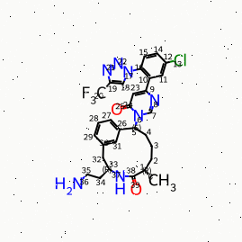 C[C@@H]1CCC[C@H](n2cnc(-c3cc(Cl)ccc3-n3cc(C(F)(F)F)nn3)cc2=O)c2cccc(c2)C[C@H](CCN)NC1=O